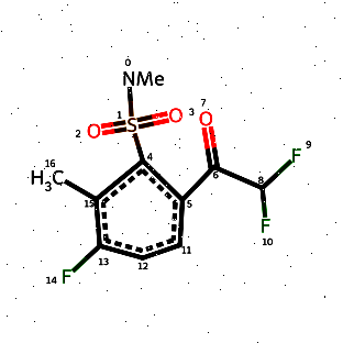 CNS(=O)(=O)c1c(C(=O)C(F)F)ccc(F)c1C